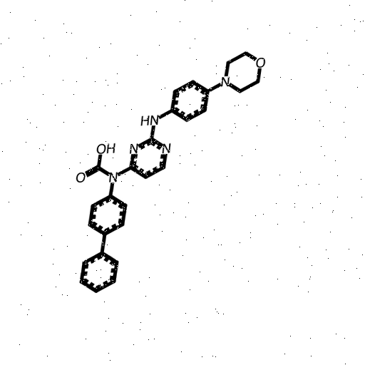 O=C(O)N(c1ccc(-c2ccccc2)cc1)c1ccnc(Nc2ccc(N3CCOCC3)cc2)n1